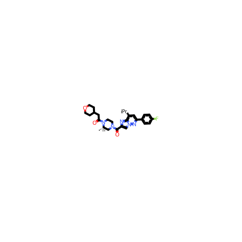 CC(C)c1cc(-c2ccc(F)cc2)nn2cc(C(=O)N3CCN(C(=O)CC4CCOCC4)[C@@H](C)C3)nc12